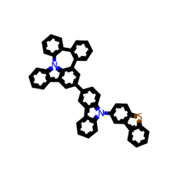 c1ccc2c(c1)-c1ccccc1-n1c3ccccc3c3cc(-c4ccc5c(c4)c4ccccc4n5-c4ccc5sc6ccccc6c5c4)cc-2c31